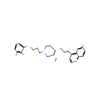 COc1ccc2nccc([C@H](F)CC[C@@H]3CCN(CCCSc4cccc(Cl)c4Cl)C[C@@H]3CC(=O)O)c2c1